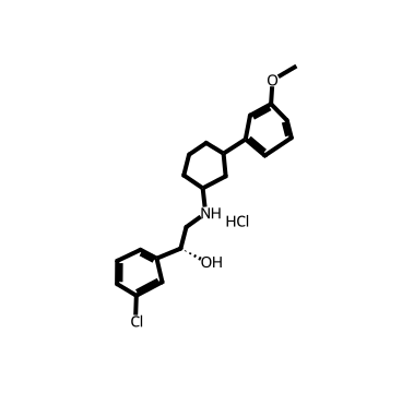 COc1cccc(C2CCCC(NC[C@H](O)c3cccc(Cl)c3)C2)c1.Cl